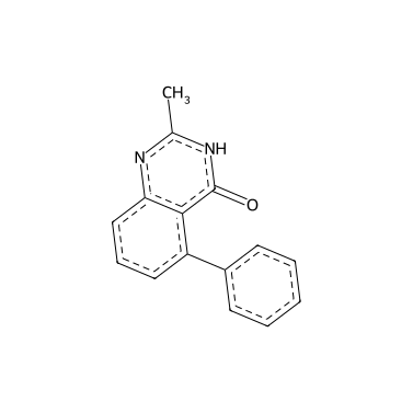 Cc1nc2cccc(-c3ccccc3)c2c(=O)[nH]1